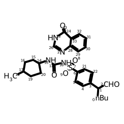 CCCCC(C=O)c1ccc(S(=O)(=O)NC(=O)NC2CCC(C)CC2)cc1.O=c1[nH]cnc2ccccc12